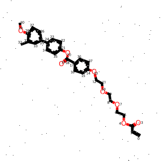 C=CC(=O)OCCOCCOCCOc1ccc(C(=O)Oc2ccc(-c3ccc(OC)c(C)c3)cc2)cc1